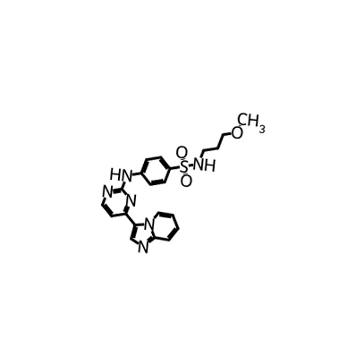 COCCCNS(=O)(=O)c1ccc(Nc2nccc(-c3cnc4ccccn34)n2)cc1